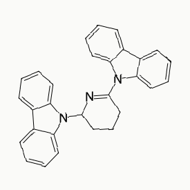 c1ccc2c(c1)c1ccccc1n2C1=NC(n2c3ccccc3c3ccccc32)CCC1